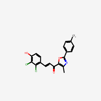 Cc1nc(-c2ccc(C(F)(F)F)cc2)oc1C(=O)/C=C/c1ccc(O)c(Cl)c1Cl